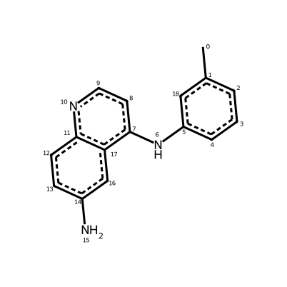 Cc1cccc(Nc2ccnc3ccc(N)cc23)c1